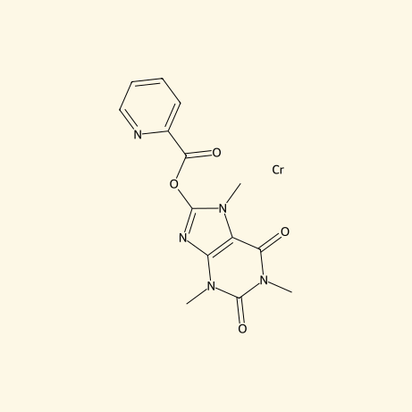 Cn1c(=O)c2c(nc(OC(=O)c3ccccn3)n2C)n(C)c1=O.[Cr]